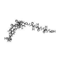 Cc1cc(OCCCC(=O)NCCNC(=O)CCCC(=O)NCCCO)cc(C)c1S(=O)(=O)N[C@@H](CNC(=O)c1cn(C)c2cc(CNc3ncc[nH]3)ccc2c1=O)C(=O)O